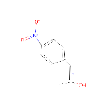 C/C(O)=C\c1ccc([N+](=O)[O-])cc1